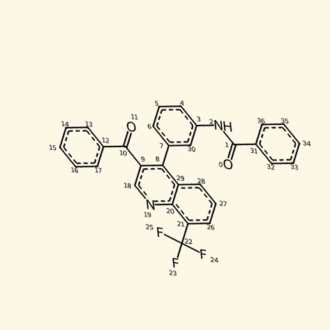 O=C(Nc1cccc(-c2c(C(=O)c3ccccc3)cnc3c(C(F)(F)F)cccc23)c1)c1ccccc1